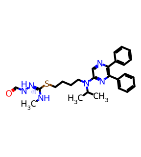 CN/C(=N\NC=O)SCCCCN(c1cnc(-c2ccccc2)c(-c2ccccc2)n1)C(C)C